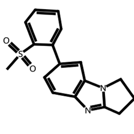 CS(=O)(=O)c1ccccc1-c1ccc2nc3n(c2c1)CCC3